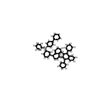 c1ccc(-c2ccc(N(c3cccc(-c4ccc5c6c(cccc46)-c4c-5c(-c5ccccc5)c5ccccc5c4-c4ccccc4)c3)c3ccccn3)cc2)cc1